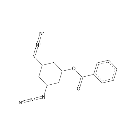 [N-]=[N+]=NC1CC(N=[N+]=[N-])CC(OC(=O)c2ccccc2)C1